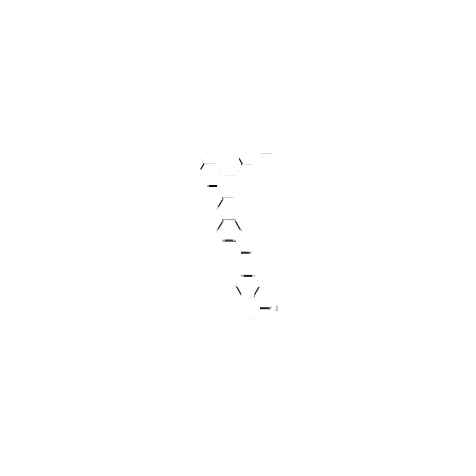 CCOC(=O)CN(CC(=O)O)C(=O)/C(C)=C/c1ccc(C(=O)Oc2ccc(C(=N)N)cc2)cc1